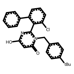 CC(C)(C)c1ccc(Cn2c(-c3c(Cl)cccc3-c3ccccc3)nc(O)cc2=O)cc1